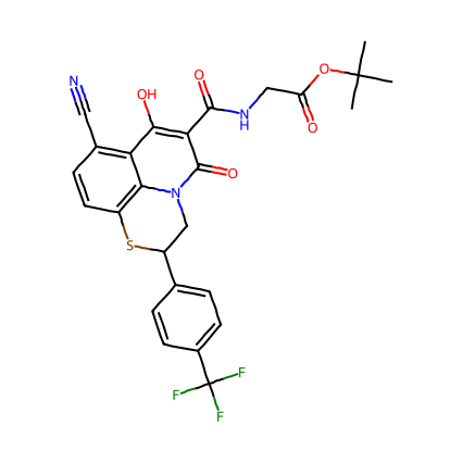 CC(C)(C)OC(=O)CNC(=O)c1c(O)c2c(C#N)ccc3c2n(c1=O)CC(c1ccc(C(F)(F)F)cc1)S3